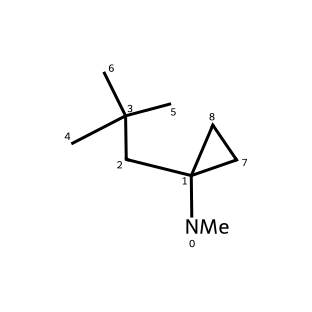 CNC1(CC(C)(C)C)CC1